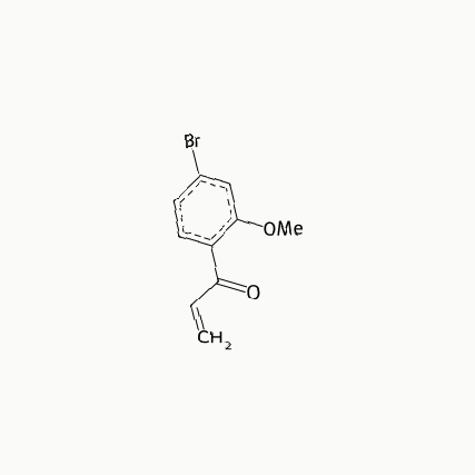 C=CC(=O)c1ccc(Br)cc1OC